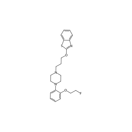 FCCOc1ccccc1N1CCN(CCCOc2nc3ccccc3s2)CC1